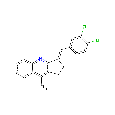 Cc1c2c(nc3ccccc13)C(=Cc1ccc(Cl)c(Cl)c1)CC2